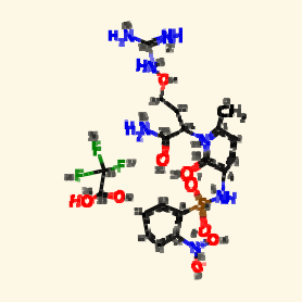 Cc1ccc(NS(=O)(=O)c2ccccc2[N+](=O)[O-])c(=O)n1C(CCONC(=N)N)C(N)=O.O=C(O)C(F)(F)F